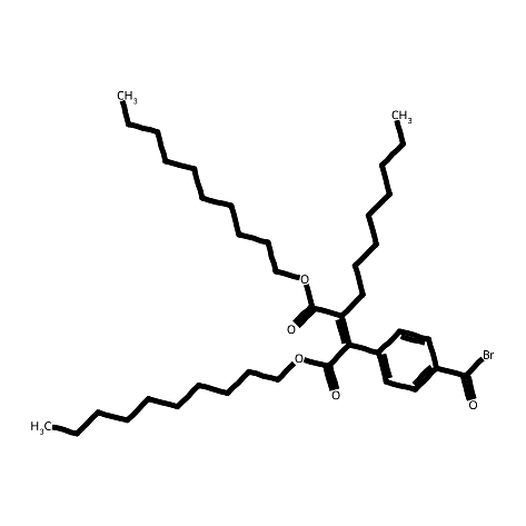 CCCCCCCCCCOC(=O)/C(CCCCCCCC)=C(\C(=O)OCCCCCCCCCC)c1ccc(C(=O)Br)cc1